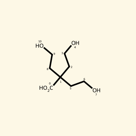 O=C(O)C(CCO)(CCO)CCO